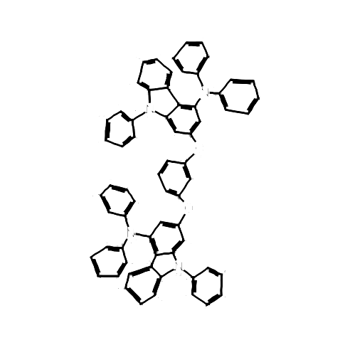 c1ccc(N(c2ccccc2)c2cc(Oc3cccc(Oc4cc(N(c5ccccc5)c5ccccc5)c5c6ccccc6n(-c6ccccc6)c5c4)c3)cc3c2c2ccccc2n3-c2ccccc2)cc1